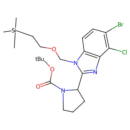 CC(C)(C)OC(=O)N1CCCC1c1nc2c(Cl)c(Br)ccc2n1COCC[Si](C)(C)C